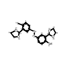 Sc1ccc(SSc2ccc(I)c(C3OCCO3)c2)cc1C1OCCO1